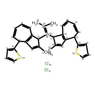 CC1=CC2=C(C=CC=CC2c2cccs2)[CH]1[Zr+2]([CH]1C(C)=CC2=C1C=CC=CC2c1cccs1)=[Si](C)C.[Cl-].[Cl-]